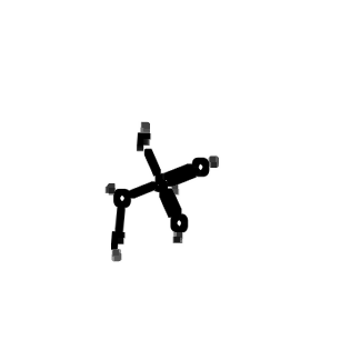 O=S(=O)(F)OF